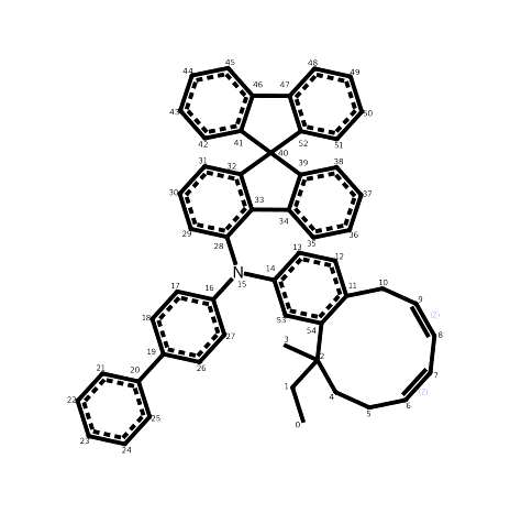 CCC1(C)CC/C=C\C=C/Cc2ccc(N(c3ccc(-c4ccccc4)cc3)c3cccc4c3-c3ccccc3C43c4ccccc4-c4ccccc43)cc21